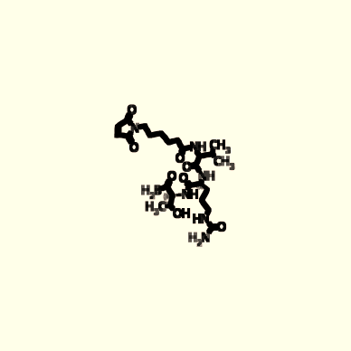 BC(=O)[C@H](NC(=O)[C@H](CCCNC(N)=O)NC(=O)C(NC(=O)CCCCCN1C(=O)C=CC1=O)C(C)C)[C@H](C)O